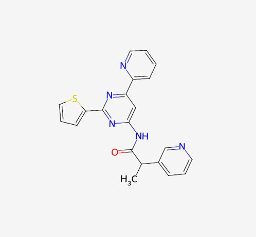 CC(C(=O)Nc1cc(-c2ccccn2)nc(-c2cccs2)n1)c1cccnc1